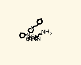 CCC(=O)N(c1ccccc1)C1CCN(CCc2ccccc2)CC1.NCCc1c[nH]cn1